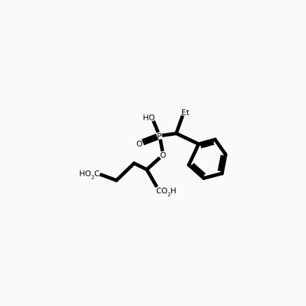 CCC(c1ccccc1)P(=O)(O)OC(CCC(=O)O)C(=O)O